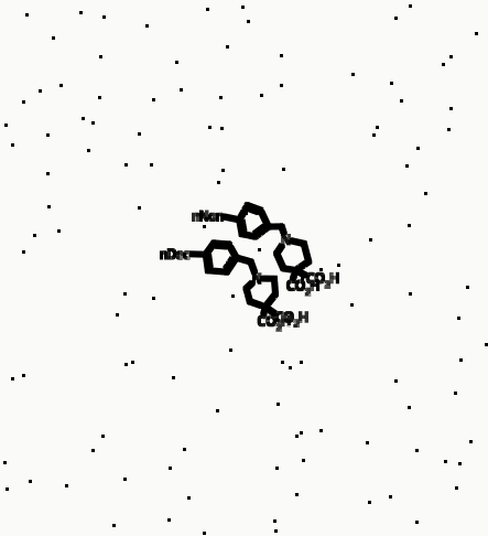 CCCCCCCCCCc1ccc(CN2CCC(C(=O)O)(C(=O)O)CC2)cc1.CCCCCCCCCc1ccc(CN2CCC(C(=O)O)(C(=O)O)CC2)cc1